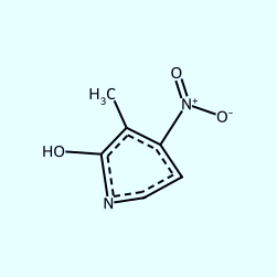 Cc1c([N+](=O)[O-])ccnc1O